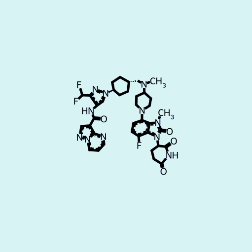 CN(C[C@H]1CC[C@H](n2cc(NC(=O)c3cnn4cccnc34)c(C(F)F)n2)CC1)C1CCN(c2ccc(F)c3c2n(C)c(=O)n3C2CCC(=O)NC2=O)CC1